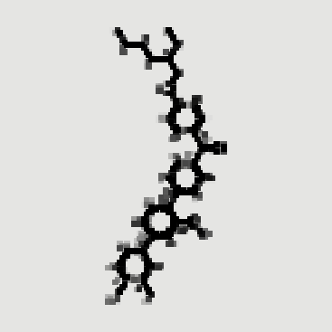 CCCCC(CC)COc1ccc(C(=O)c2ccc(-c3ccc(-c4ccc(I)c(C)c4)cc3OC)cc2)cc1